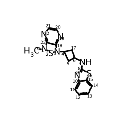 CN1SN(C2CC(Nc3nc4ccccc4s3)C2)c2nccnc21